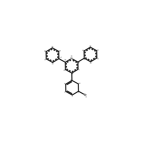 BrC1C=CC=C(c2cc(-c3ccccc3)nc(-c3ccccc3)c2)C1